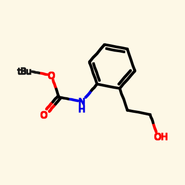 CC(C)(C)OC(=O)Nc1ccccc1CCO